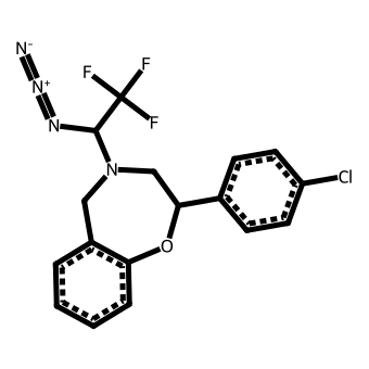 [N-]=[N+]=NC(N1Cc2ccccc2OC(c2ccc(Cl)cc2)C1)C(F)(F)F